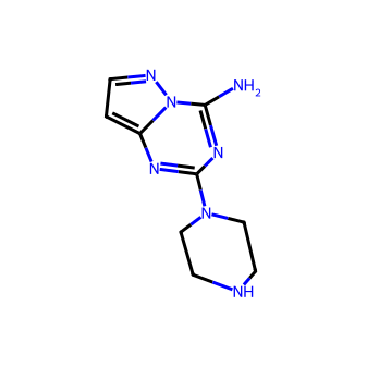 Nc1nc(N2CCNCC2)nc2ccnn12